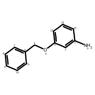 Nc1[c]c(OCc2ccccc2)ccc1